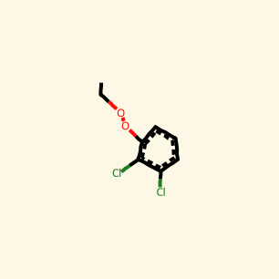 CCOOc1cccc(Cl)c1Cl